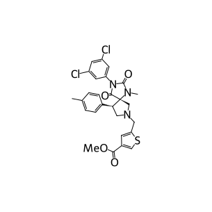 COC(=O)c1csc(CN2C[C@@H](c3ccc(C)cc3)[C@]3(C2)C(=O)N(c2cc(Cl)cc(Cl)c2)C(=O)N3C)c1